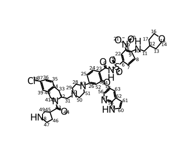 O=C(NS(=O)(=O)c1ccc(NCC2CCOCC2)c([N+](=O)[O-])c1)c1ccc(N2CCN(CC3Cc4ccc(Cl)cc4CN3C(=O)C3CCNC3)CC2)cc1Oc1cnc2[nH]ccc2c1